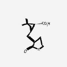 CC1(C)[C@H](/C=C2\CCSC2=O)[C@H]1C(=O)O